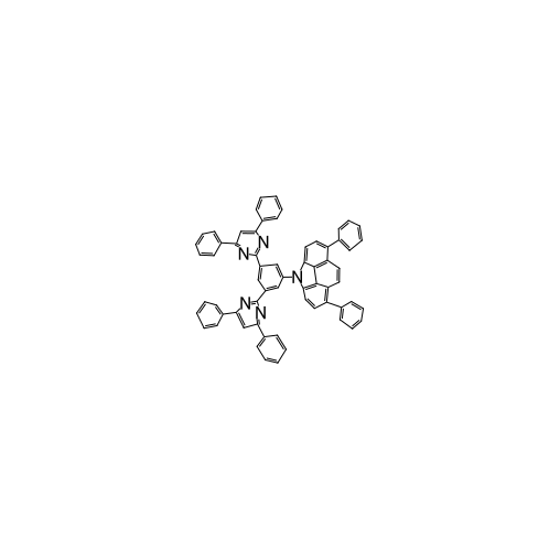 c1ccc(-c2cc(-c3ccccc3)nc(-c3cc(-c4nc(-c5ccccc5)cc(-c5ccccc5)n4)cc(-n4c5ccc(-c6ccccc6)c6ccc7c(-c8ccccc8)ccc4c7c65)c3)n2)cc1